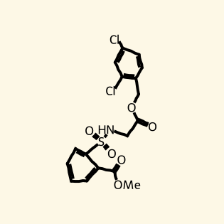 COC(=O)c1ccccc1S(=O)(=O)NCC(=O)OCc1ccc(Cl)cc1Cl